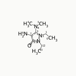 CCn1c(N(C)C)c(N)c(=O)n1CC